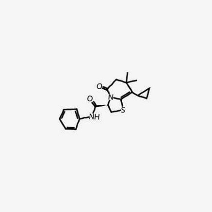 CC1(C)CC(=O)N2C(=C1C1CC1)SC[C@H]2C(=O)Nc1ccccc1